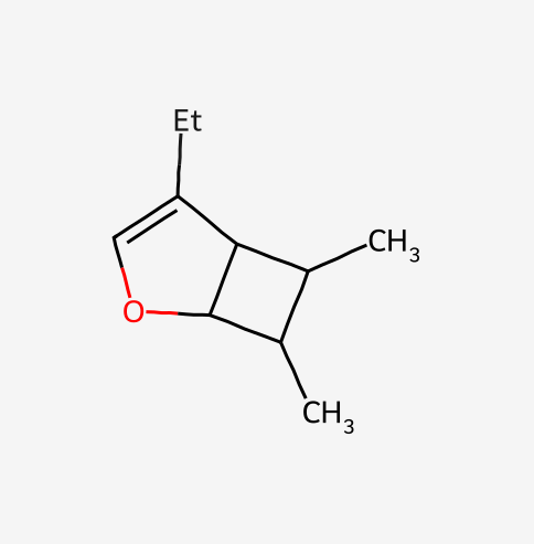 CCC1=COC2C(C)C(C)C12